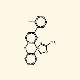 NC1=N[C@@]2(CO1)c1cc(-c3cccnc3F)ccc1Oc1ncccc12